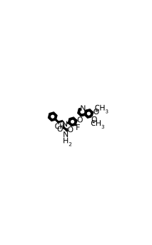 COc1cc2nccc(Oc3ccc(N(CC(C)c4ccccc4)C(=O)C(N)=O)cc3F)c2cc1OC